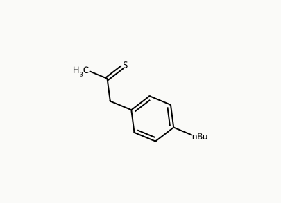 CCCCc1ccc(CC(C)=S)cc1